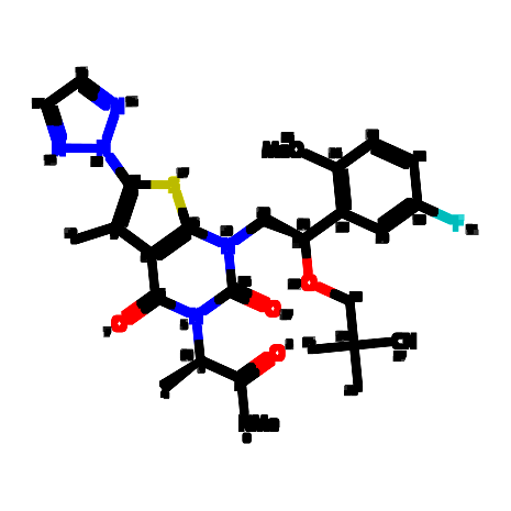 CNC(=O)[C@@H](C)n1c(=O)c2c(C)c(-n3nccn3)sc2n(C[C@H](OCC(C)(C)C#N)c2cc(F)ccc2OC)c1=O